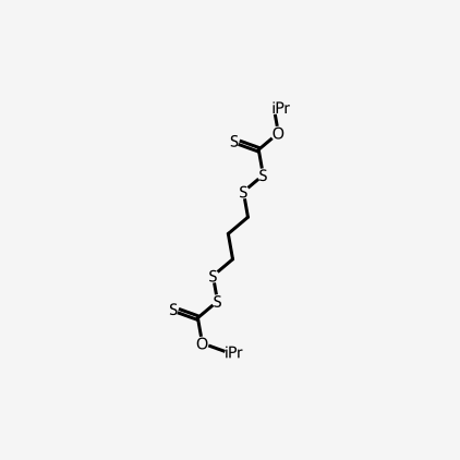 CC(C)OC(=S)SSCCCSSC(=S)OC(C)C